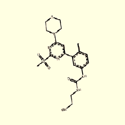 Cc1ccc(NC(=O)NCCC(C)(C)C)cc1-c1cc(N2CCOCC2)nc(S(C)(=O)=O)n1